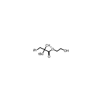 CC(C)CC(C)(C(=O)OCCO)C(C)(C)C